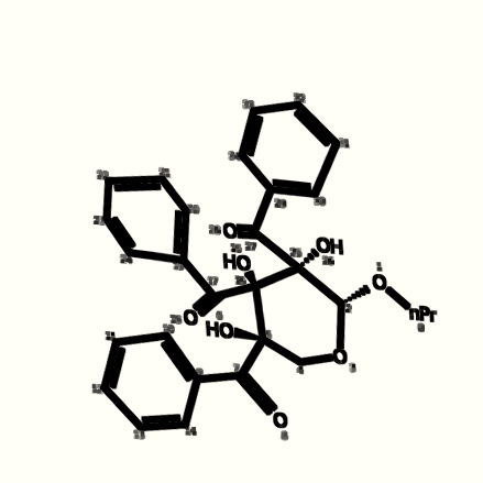 CCCO[C@@H]1OC[C@](O)(C(=O)c2ccccc2)[C@](O)(C(=O)c2ccccc2)[C@@]1(O)C(=O)c1ccccc1